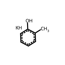 Cc1ccccc1O.[KH]